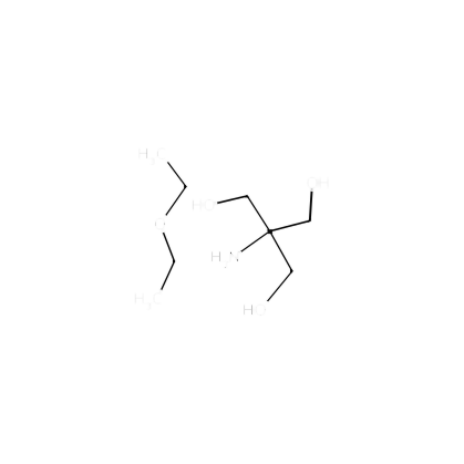 CCOCC.NC(CO)(CO)CO